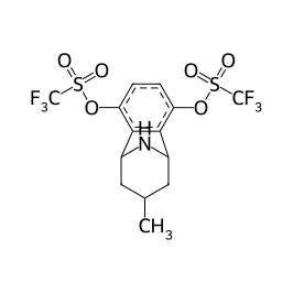 CC1CC2NC(C1)c1c(OS(=O)(=O)C(F)(F)F)ccc(OS(=O)(=O)C(F)(F)F)c12